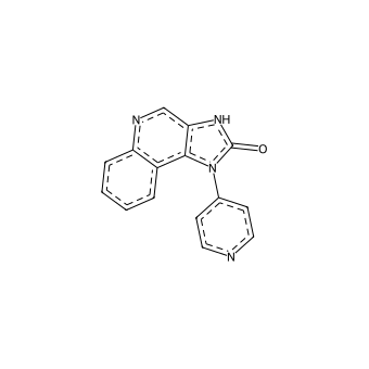 O=c1[nH]c2cnc3ccccc3c2n1-c1ccncc1